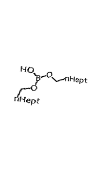 CCCCCCCCOB(O)OCCCCCCCC